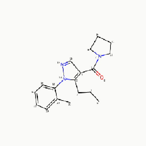 CCCc1c(C(=O)N2CCCC2)cnn1-c1ccccc1C